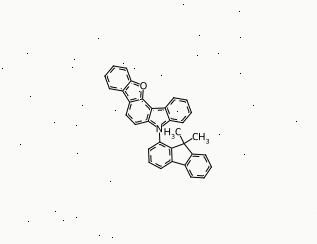 CC1(C)c2ccccc2-c2cccc(-n3c4ccccc4c4c5oc6ccccc6c5ccc43)c21